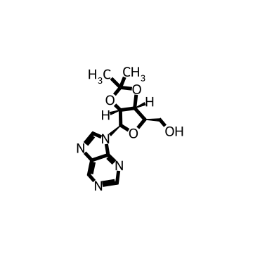 CC1(C)O[C@@H]2[C@H](O1)[C@@H](CO)O[C@H]2n1cnc2cncnc21